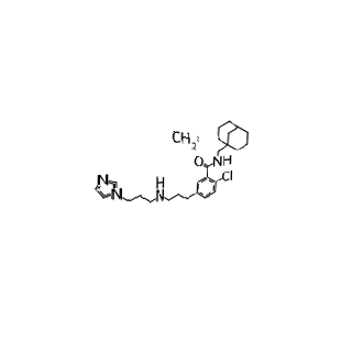 O=C(NCC12CCCC(CCC1)C2)c1cc(CCCNCCCn2ccnc2)ccc1Cl.[CH2]